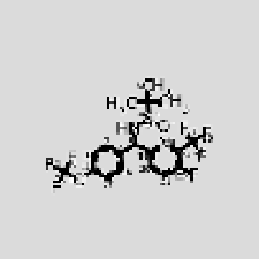 CC(C)(C)[S@@+]([O-])NC(c1ccc(OC(F)(F)F)cc1)c1ccc(F)c(C(F)(F)F)n1